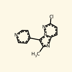 Cc1nc2ccc(Cl)nn2c1-c1ccncc1